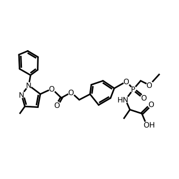 COCP(=O)(NC(C)C(=O)O)Oc1ccc(COC(=O)Oc2cc(C)nn2-c2ccccc2)cc1